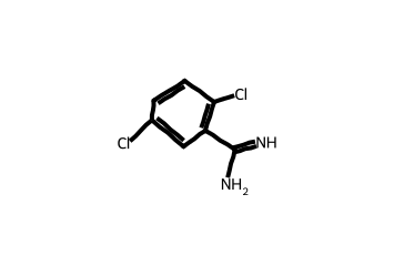 N=C(N)c1cc(Cl)ccc1Cl